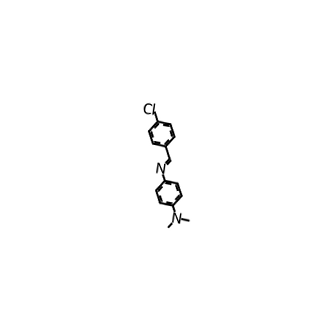 CN(C)c1ccc(/N=C/c2ccc(Cl)cc2)cc1